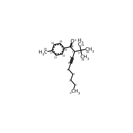 CCCCCC#CC(C(=O)c1ccc(C)cc1)C(C)(C)C